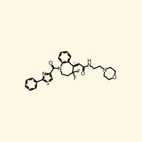 O=C(/C=C1/c2ccccc2N(C(=O)c2csc(-c3ccccc3)n2)CCC1(F)F)NCCN1CCOCC1